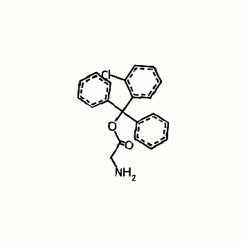 NCC(=O)OC(c1ccccc1)(c1ccccc1)c1ccccc1Cl